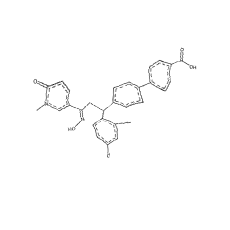 Cc1cc(Cl)ccc1C(C/C(=N/O)c1ccc(=O)n(C)c1)c1ccc(-c2ccc(C(=O)O)cc2)cc1